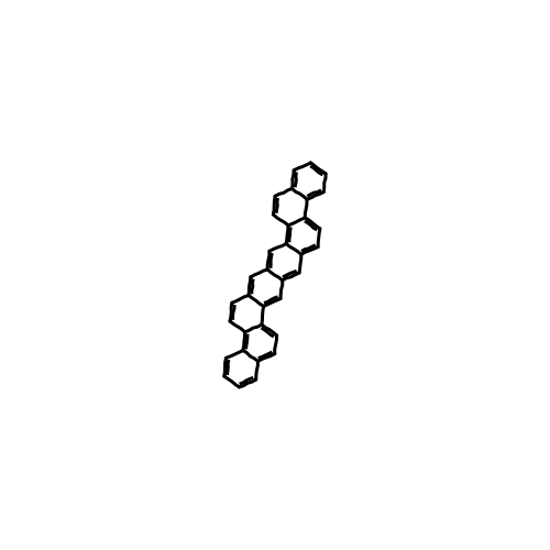 c1ccc2c(c1)ccc1c3cc4cc5ccc6c7ccccc7ccc6c5cc4cc3ccc21